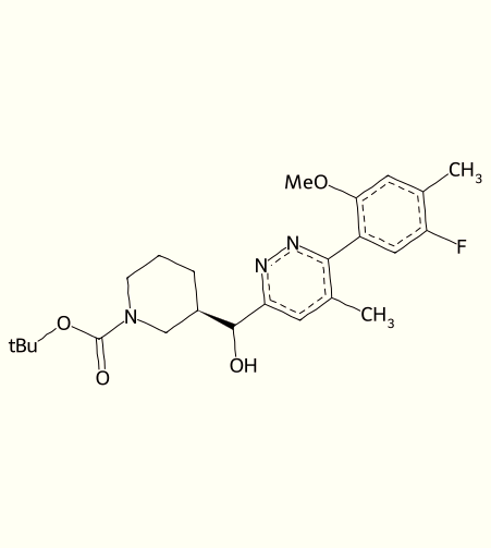 COc1cc(C)c(F)cc1-c1nnc(C(O)[C@@H]2CCCN(C(=O)OC(C)(C)C)C2)cc1C